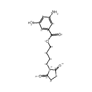 Nc1cc(N)cc(C(=O)OCCCCN2C(=O)CCC2=O)c1